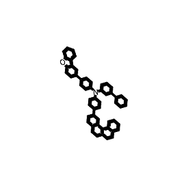 c1ccc(-c2cccc(N(c3ccc(-c4ccc5oc6ccccc6c5c4)cc3)c3ccc(-c4ccc5ccc6ccc7ccccc7c6c5c4)cc3)c2)cc1